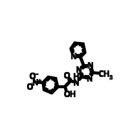 Cc1nc(NC(=O)C(O)c2ccc([N+](=O)[O-])cc2)nc(-c2ccccn2)n1